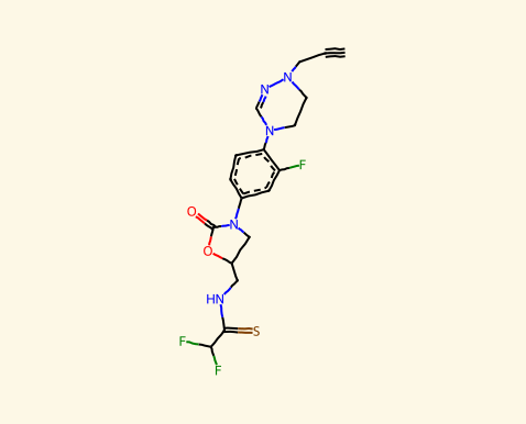 C#CCN1CCN(c2ccc(N3CC(CNC(=S)C(F)F)OC3=O)cc2F)C=N1